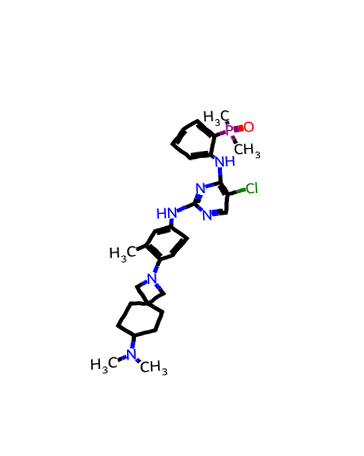 Cc1cc(Nc2ncc(Cl)c(Nc3ccccc3P(C)(C)=O)n2)ccc1N1CC2(CCC(N(C)C)CC2)C1